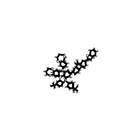 CC(C)(C)c1ccc(N(c2ccc(C(C)(C)C)cc2)c2cc(-c3ccc4c(c3)C(C)(C)c3cc(-c5cc6ccccc6o5)ccc3-4)cc(N(C3=CC=C4OCCCOC4C3)c3ccc4c(c3)OCCCO4)c2Cl)cc1